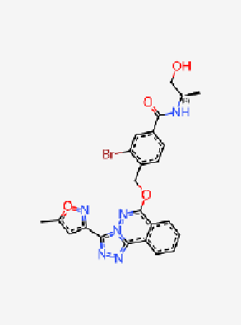 Cc1cc(-c2nnc3c4ccccc4c(OCc4ccc(C(=O)N[C@H](C)CO)cc4Br)nn23)no1